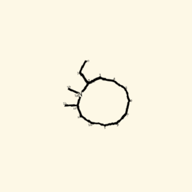 CCC1CCCCCCCCCC(C)N1C